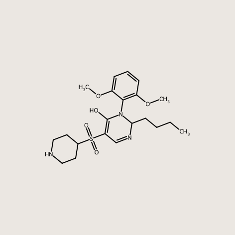 CCCCC1N=CC(S(=O)(=O)C2CCNCC2)=C(O)N1c1c(OC)cccc1OC